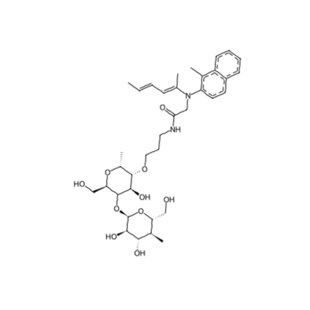 C/C=C/C=C(\C)N(CC(=O)NCCCO[C@H]1[C@@H](C)O[C@H](CO)C(O[C@H]2O[C@H](CO)[C@@H](C)[C@H](O)[C@H]2O)[C@@H]1O)c1ccc2ccccc2c1C